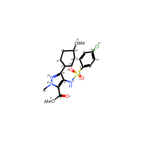 COC(=O)c1c(NS(=O)(=O)c2ccc(Cl)cc2)c(C2CCC(OC)CC2)nn1C